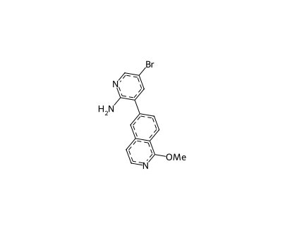 COc1nccc2cc(-c3cc(Br)cnc3N)ccc12